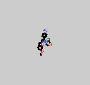 C1COCCN1.CCOc1ccc2cc(C=Cc3ccc(N(C)C)cc3)oc2c1.Cl